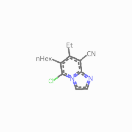 CCCCCCc1c(CC)c(C#N)c2nccn2c1Cl